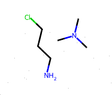 CN(C)C.NCCCCl